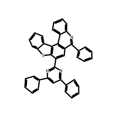 c1ccc(-c2cc(-c3ccccc3)nc(-c3cc4c(-c5ccccc5)nc5ccccc5c4c4c3sc3ccccc34)n2)cc1